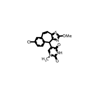 COc1nc2c(s1)C=Cc1cc(Cl)ccc1C2c1cn(C)c(=O)[nH]c1=O